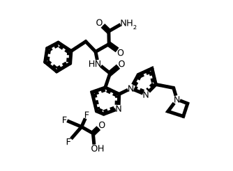 NC(=O)C(=O)C(Cc1ccccc1)NC(=O)c1cccnc1-n1ccc(CN2CCC2)n1.O=C(O)C(F)(F)F